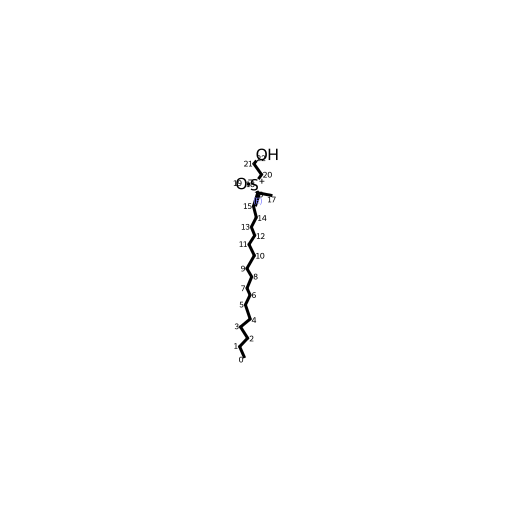 CCCCCCCCCCCCCCC/C=C(\C)[S+]([O-])CCO